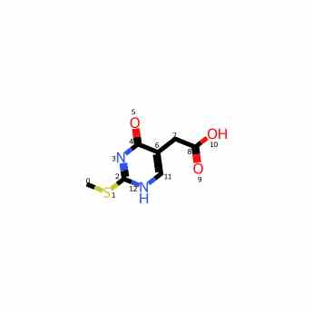 CSc1nc(=O)c(CC(=O)O)c[nH]1